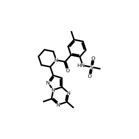 Cc1ccc(NS(C)(=O)=O)c(C(=O)N2CCCCC2c2cc3nc(C)nc(C)n3n2)c1